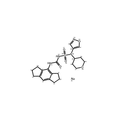 O=C(Nc1c2c(cc3c1CCC3)CCC2)NS(=O)(=O)N(c1cnoc1)C1CCOCC1.[Na]